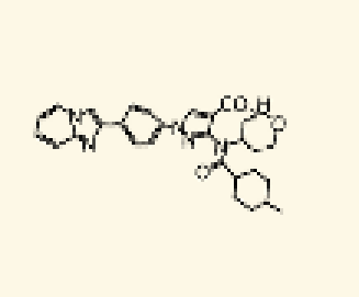 CC1CCC(C(=O)N(c2nn(-c3ccc(-c4cn5ccccc5n4)cc3)cc2C(=O)O)C2CCOCC2)CC1